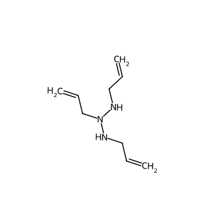 C=CCNN(CC=C)NCC=C